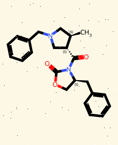 C[C@@H]1CN(Cc2ccccc2)C[C@H]1C(=O)N1C(=O)OC[C@@H]1Cc1ccccc1